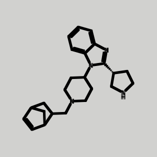 C1=CC2CC1CC2CN1CCC(n2c([C@@H]3CCNC3)nc3ccccc32)CC1